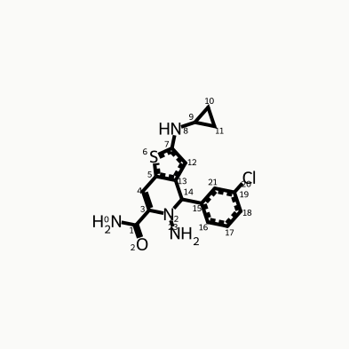 NC(=O)C1=Cc2sc(NC3CC3)cc2C(c2cccc(Cl)c2)N1N